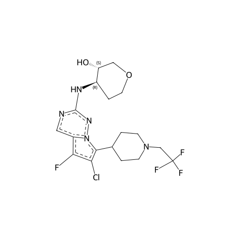 O[C@@H]1COCC[C@H]1Nc1ncc2c(F)c(Cl)c(C3CCN(CC(F)(F)F)CC3)n2n1